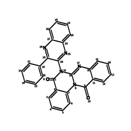 O=c1c2ccccc2n2c(=O)c3ccccc3nc2n1-c1nc2ccccc2nc1-c1ccccc1